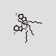 CCCCCCP(CCCCCC)C1=Cc2ccccc2[CH]1[Hf+2][CH]1C(P(CCCCCC)CCCCCC)=Cc2ccccc21.[F-].[F-]